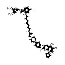 CC(=O)c1c(C)c2cnc(Nc3ccc(N4CCN(CC(=O)NCCCCCCCNc5cc(C)ccc5C(=O)Nc5nc(C)c(C)s5)CC4)cn3)nc2n(C2CCCC2)c1=O